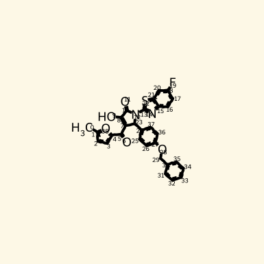 Cc1ccc(C(=O)C2=C(O)C(=O)N(c3nc4ccc(F)cc4s3)C2c2ccc(OCc3ccccc3)cc2)o1